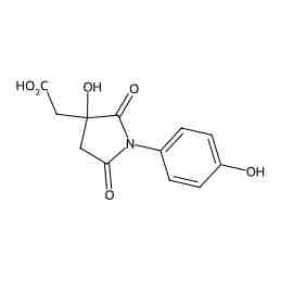 O=C(O)CC1(O)CC(=O)N(c2ccc(O)cc2)C1=O